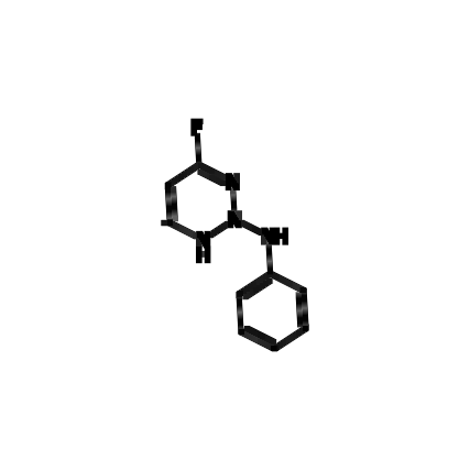 FC1=NN(Nc2ccccc2)N[C]=C1